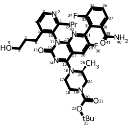 CC(C)c1nccc(CCCO)c1-n1c(=O)nc(N2CCN(C(=O)OC(C)(C)C)C[C@@H]2C)c2cc(F)c(-c3c(F)cccc3C(N)=O)nc21